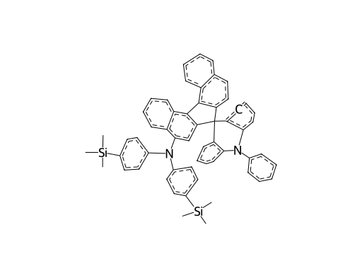 C[Si](C)(C)c1ccc(N(c2ccc([Si](C)(C)C)cc2)c2cc3c(c4ccccc24)-c2c(ccc4ccccc24)C32c3ccccc3N(c3ccccc3)c3ccccc32)cc1